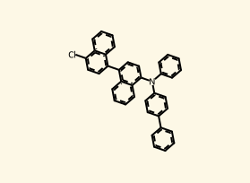 Clc1ccc(-c2ccc(N(c3ccccc3)c3ccc(-c4ccccc4)cc3)c3ccccc23)c2ccccc12